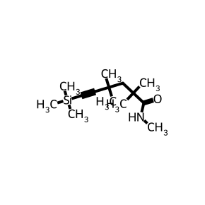 CNC(=O)C(C)(C)CC(C)(C)C#C[Si](C)(C)C